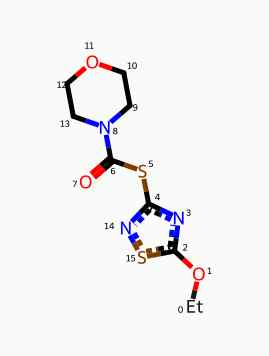 CCOc1nc(SC(=O)N2CCOCC2)ns1